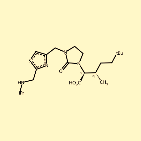 CC(C)NCc1nc(CN2CCN([C@H](C(=O)O)[C@@H](C)CCC(C)(C)C)C2=O)cs1